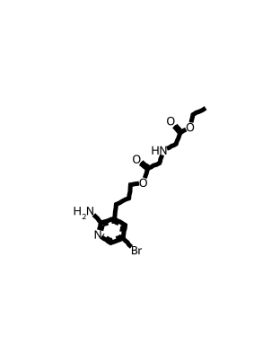 CCOC(=O)CNCC(=O)OCCCc1cc(Br)cnc1N